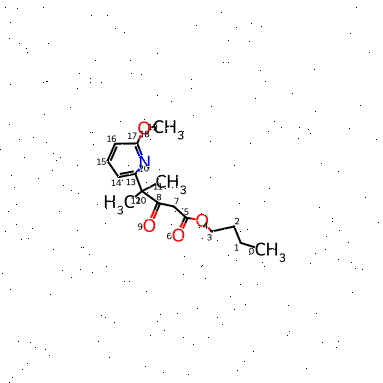 CCCCOC(=O)CC(=O)C(C)(C)c1cccc(OC)n1